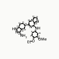 CCOc1ccc(Nc2nc(-c3ccc4[nH]nc(N)c4c3)cn3ccnc23)cc1OC